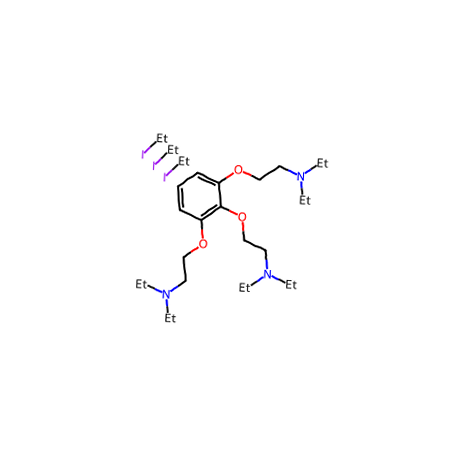 CCI.CCI.CCI.CCN(CC)CCOc1cccc(OCCN(CC)CC)c1OCCN(CC)CC